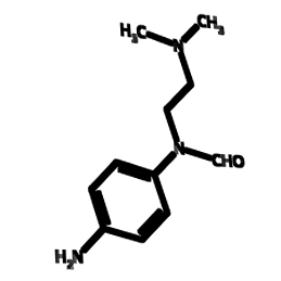 CN(C)CCN(C=O)c1ccc(N)cc1